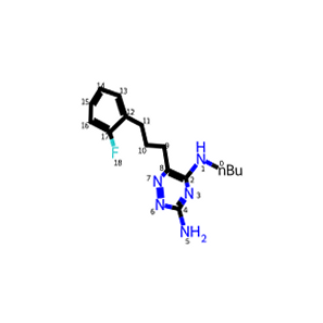 CCCCNc1nc(N)nnc1CCCc1ccccc1F